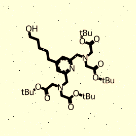 CC(C)(C)OC(=O)CN(CC(=O)OC(C)(C)C)Cc1cc(CCCCCO)cc(CN(CC(=O)OC(C)(C)C)CC(=O)OC(C)(C)C)n1